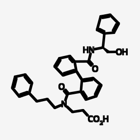 O=C(O)CCN(CCCc1ccccc1)C(=O)c1ccccc1-c1ccccc1C(=O)N[C@H](CO)c1ccccc1